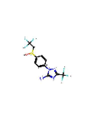 Nc1nc(C(F)(F)F)nn1-c1ccc([S+]([O-])CC(F)(F)F)cc1